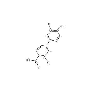 Cc1ccc(-c2ccc(C(=O)O)c(Cl)n2)cc1F